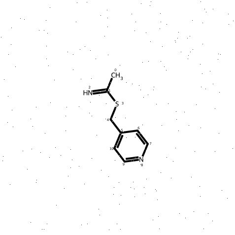 CC(=N)SCc1ccncc1